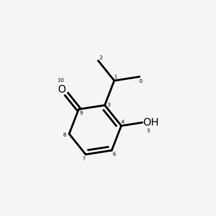 CC(C)C1=C(O)C=CCC1=O